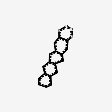 c1ccc2cc3cc4cc5soosc5cc4cc3cc2c1